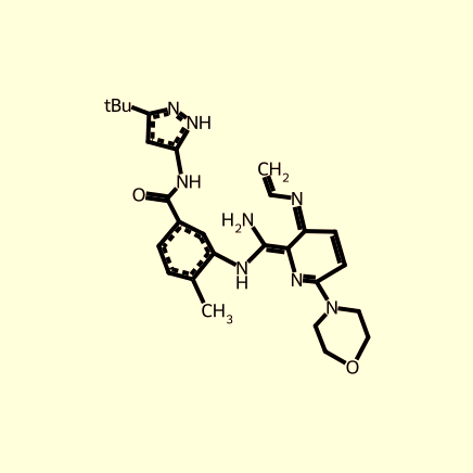 C=C/N=C1/C=CC(N2CCOCC2)=N/C1=C(/N)Nc1cc(C(=O)Nc2cc(C(C)(C)C)n[nH]2)ccc1C